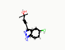 CC(C)(O)C#Cc1n[nH]c2ccc(Cl)cc12